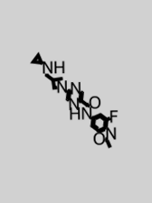 Cc1nc2c(F)cc(NC(=O)c3cnc(N4CC(CNC5CC5)C4)cn3)cc2o1